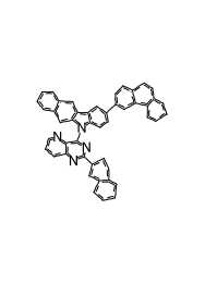 c1ccc2cc(-c3nc(-n4c5ccc(-c6ccc7ccc8ccccc8c7c6)cc5c5cc6ccccc6cc54)c4ncccc4n3)ccc2c1